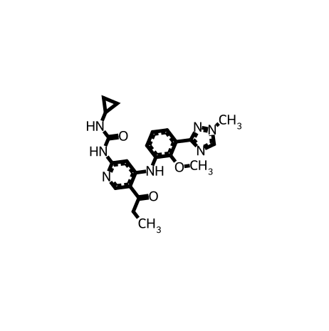 CCC(=O)c1cnc(NC(=O)NC2CC2)cc1Nc1cccc(-c2ncn(C)n2)c1OC